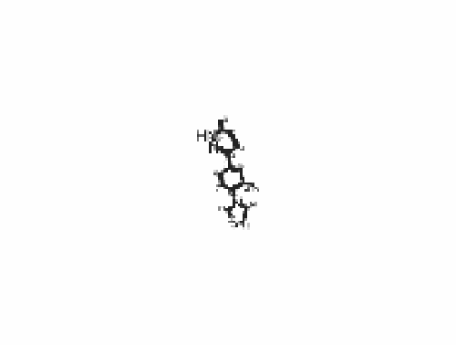 C=C1C=CC(c2ccc(N3CCSC3)c(C)c2)=NN1